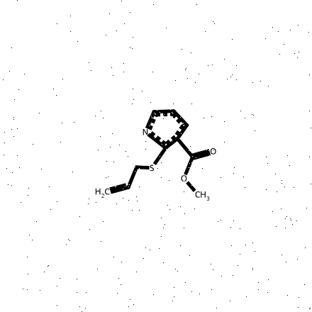 C=CCSc1ncccc1C(=O)OC